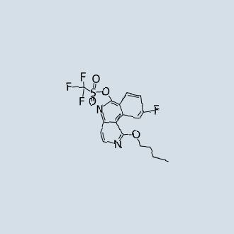 CCCCOc1nccc2nc(OS(=O)(=O)C(F)(F)F)c3ccc(F)cc3c12